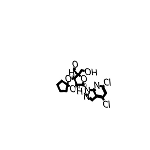 O=CC1(CO)O[C@@H](n2ncc3c(Cl)cc(Cl)nc32)[C@@H]2OC3(CCCC3)O[C@@H]21